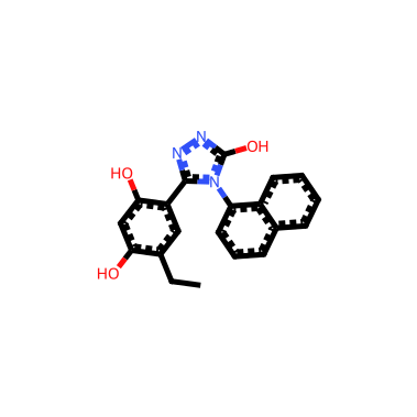 CCc1cc(-c2nnc(O)n2-c2cccc3ccccc23)c(O)cc1O